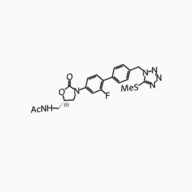 CSc1nnnn1Cc1ccc(-c2ccc(N3C[C@H](CNC(C)=O)OC3=O)cc2F)cc1